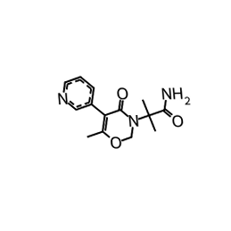 CC1=C(c2cccnc2)C(=O)N(C(C)(C)C(N)=O)CO1